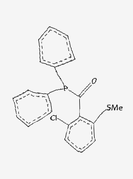 CSc1cccc(Cl)c1C(=O)P(c1ccccc1)c1ccccc1